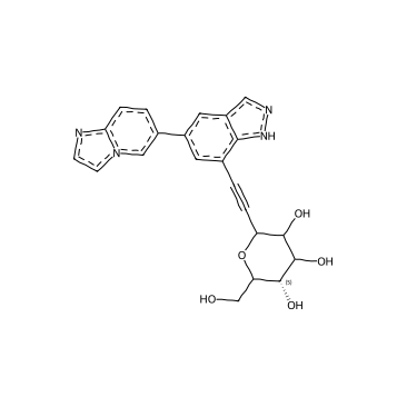 OCC1OC(C#Cc2cc(-c3ccc4nccn4c3)cc3cn[nH]c23)C(O)C(O)[C@@H]1O